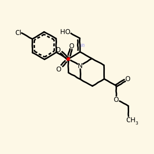 CCOC(=O)C1CC2CC(=O)/C(=C\O)C(C1)N2S(=O)(=O)c1ccc(Cl)cc1